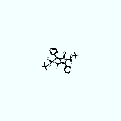 CC(C)(C)OC(=O)N1C(=O)C2=C(c3cccnc3)N(C(=O)OC(C)(C)C)C(=O)C2=C1c1cccnc1